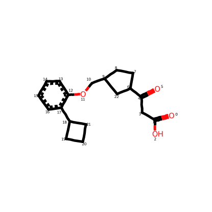 O=C(O)CC(=O)C1CCC(COc2ccccc2C2CCC2)C1